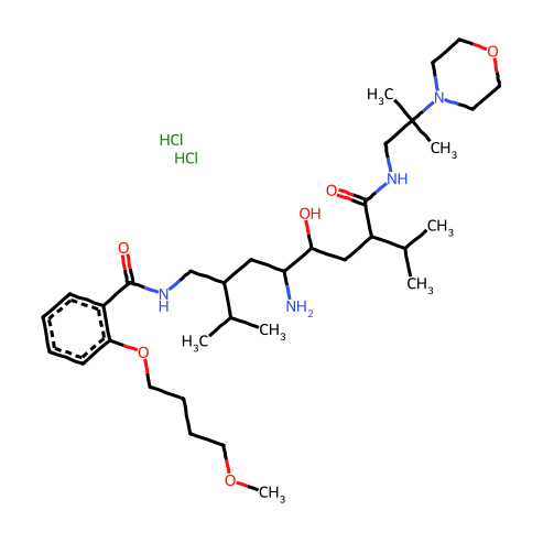 COCCCCOc1ccccc1C(=O)NCC(CC(N)C(O)CC(C(=O)NCC(C)(C)N1CCOCC1)C(C)C)C(C)C.Cl.Cl